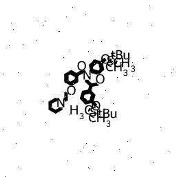 CC(C)(C)[Si](C)(C)Oc1cccc(C2COc3cc(O[Si](C)(C)C(C)(C)C)ccc3N(C(=O)c3cccc(OCCN4CCCCC4)c3)C2)c1